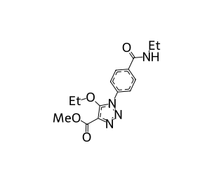 CCNC(=O)c1ccc(-n2nnc(C(=O)OC)c2OCC)cc1